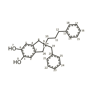 Oc1cc2c(cc1O)C[N+](CCCc1ccccc1)(Cc1ccccc1)C2